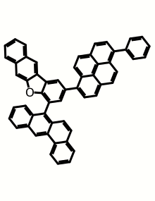 c1ccc(-c2ccc3ccc4c(-c5cc(-c6c7ccccc7cc7c6ccc6ccccc67)c6oc7cc8ccccc8cc7c6c5)ccc5ccc2c3c54)cc1